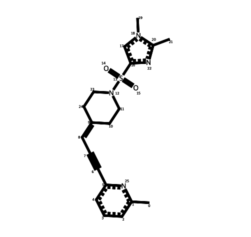 Cc1cccc(C#CC=C2CCN(S(=O)(=O)c3cn(C)c(C)n3)CC2)n1